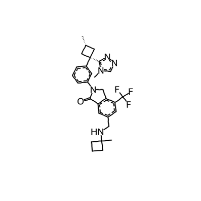 Cn1cnnc1[C@]1(c2cccc(N3Cc4c(cc(CNC5(C)CCC5)cc4C(F)(F)F)C3=O)c2)C[C@H](C)C1